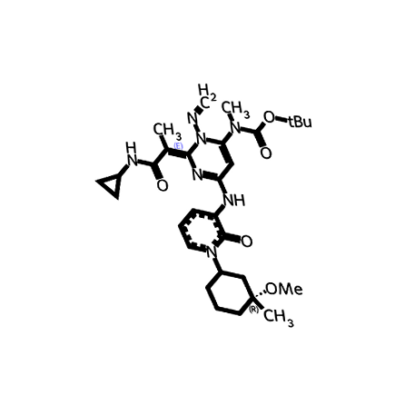 C=NN1C(N(C)C(=O)OC(C)(C)C)=CC(Nc2cccn(C3CCC[C@@](C)(OC)C3)c2=O)=N/C1=C(/C)C(=O)NC1CC1